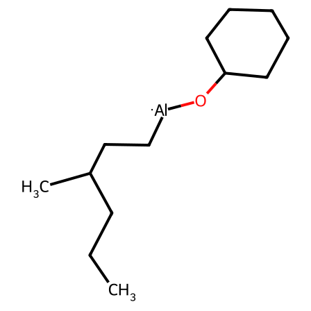 CCCC(C)C[CH2][Al][O]C1CCCCC1